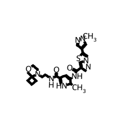 CC1NC=C(C(=O)NCCN2CCOCC23CCC3)C=C1NC(=O)c1cnn2cc(-c3cnn(C)c3)sc12